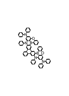 c1ccc(N(c2ccccc2)c2cc3c4c(c2)N(c2ccccc2)c2cc5c6ccccc6c6cc7c(cc6c5cc2B4c2ccccc2O3)B2c3ccccc3Oc3cc(N(c4ccccc4)c4ccccc4)cc(c32)N7c2ccccc2)cc1